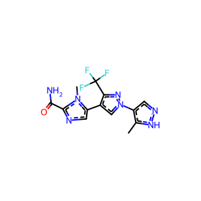 Cc1[nH]ncc1-n1cc(-c2cnc(C(N)=O)n2C)c(C(F)(F)F)n1